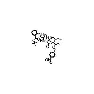 CC(C)(C)OC(=O)c1ccccc1NCC(=O)N[C@@H]1C(=O)N2C(C(=O)OCc3ccc([N+](=O)[O-])cc3)C(O)CS[C@H]12